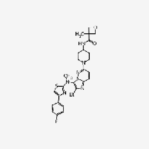 CCc1nc2ccc(N3CCC(NC(=O)C4(C)COC4)CC3)nn2c1N(C)c1nc(-c2ccc(F)cc2)cs1